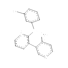 CCc1cccc(Oc2ncccc2-c2cnccc2OC)c1